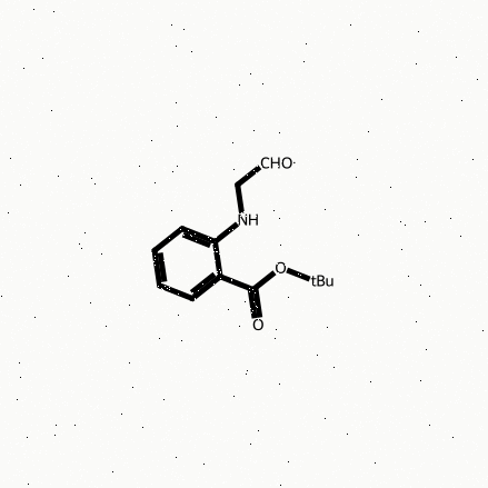 CC(C)(C)OC(=O)c1ccccc1NC[C]=O